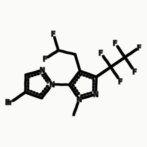 Cn1nc(C(F)(F)C(F)(F)F)c(CC(F)F)c1-n1cc(Br)cn1